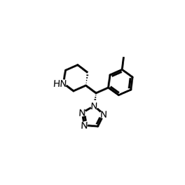 Cc1cccc([C@@H]([C@H]2CCCNC2)n2ncnn2)c1